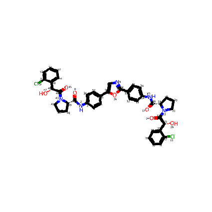 O=C(Nc1ccc(-c2cnc(-c3ccc(NC(=O)[C@@H]4CCCN4C(=O)[C@H](O)c4ccccc4Cl)cc3)o2)cc1)[C@@H]1CCCN1C(=O)[C@H](O)c1ccccc1Cl